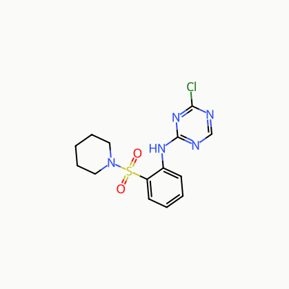 O=S(=O)(c1ccccc1Nc1ncnc(Cl)n1)N1CCCCC1